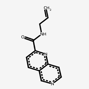 C=CCNC(=O)c1ccc2cnccc2n1